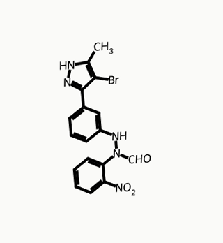 Cc1[nH]nc(-c2cccc(NN(C=O)c3ccccc3[N+](=O)[O-])c2)c1Br